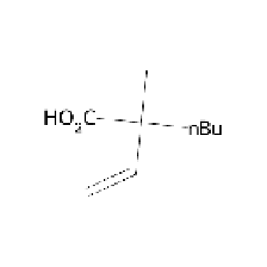 C=CC(C)(CCCC)C(=O)O